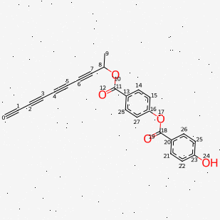 C#CC#CC#CC#CC(C)OC(=O)c1ccc(OC(=O)c2ccc(O)cc2)cc1